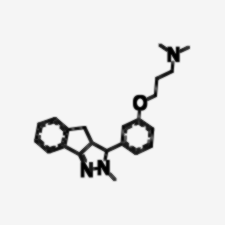 CN(C)CCCOc1cccc(C2C3Cc4ccccc4C3=NN2C)c1